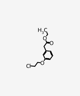 CCOC(=O)Cc1cccc(OCCCl)c1